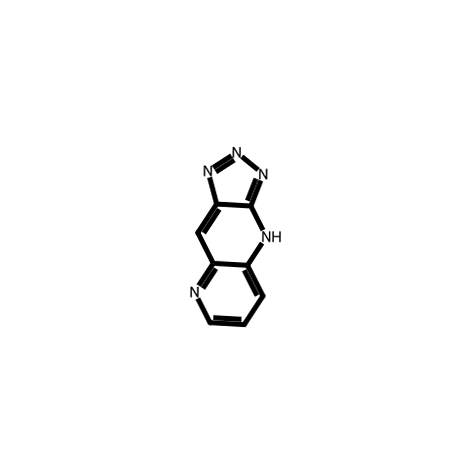 c1cnc2cc3nnnc-3[nH]c2c1